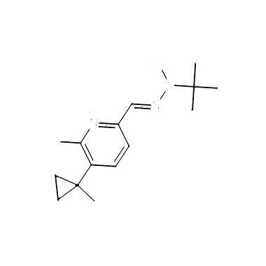 CC1(c2ccc(/C=N/[S+]([O-])C(C)(C)C)nc2F)CC1